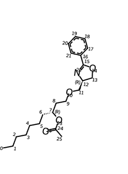 CCCCCCC[C@H](CCOC[C@@H]1COC(c2ccccc2)=N1)OC(C)=O